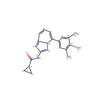 Cc1cc(-c2cccc3nc(NC(=O)C4CC4)nn23)cc(C)c1O